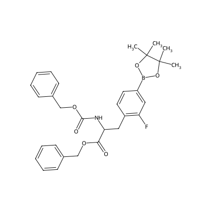 CC1(C)OB(c2ccc(CC(NC(=O)OCc3ccccc3)C(=O)OCc3ccccc3)c(F)c2)OC1(C)C